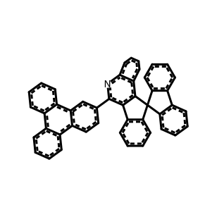 c1ccc2c(c1)-c1ccccc1C21c2ccccc2-c2c(-c3ccc4c5ccccc5c5ccccc5c4c3)nc3ccccc3c21